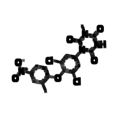 Cc1cc([N+](=O)[O-])ccc1Oc1c(Cl)cc(-n2c(=O)[nH]c(=O)n(C)c2=O)cc1Cl